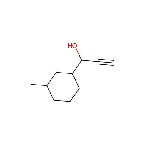 C#CC(O)C1CCCC(C)C1